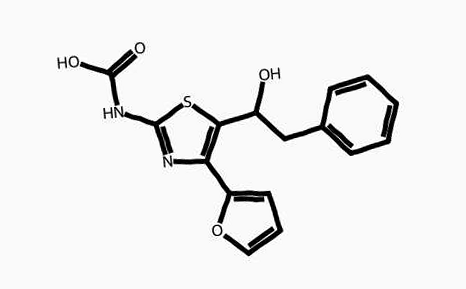 O=C(O)Nc1nc(-c2ccco2)c(C(O)Cc2ccccc2)s1